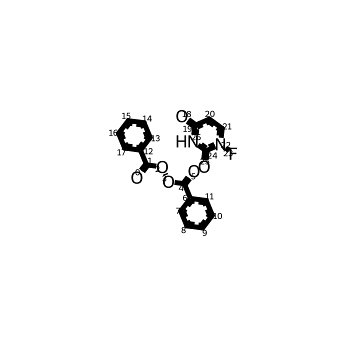 O=C(OOC(=O)c1ccccc1)c1ccccc1.O=c1ccn(F)c(=O)[nH]1